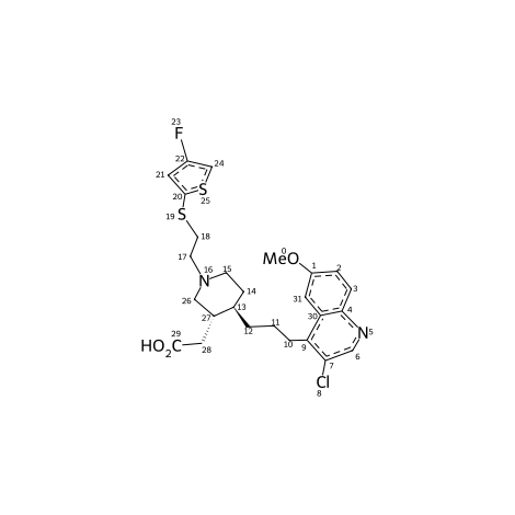 COc1ccc2ncc(Cl)c(CCC[C@@H]3CCN(CCSc4cc(F)cs4)C[C@H]3CC(=O)O)c2c1